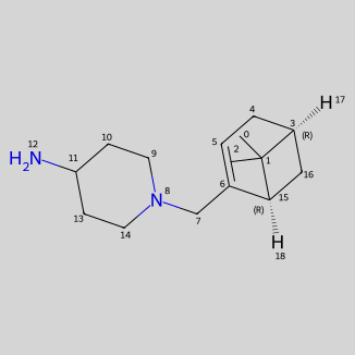 CC1(C)[C@H]2CC=C(CN3CCC(N)CC3)[C@@H]1C2